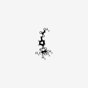 CCC(=O)OCc1ccc(B2OC(C)(C)C(C)(C)O2)cc1